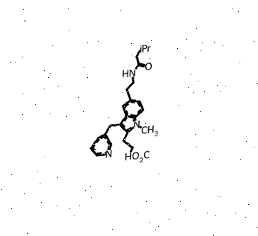 CC(C)CC(=O)NCCc1ccc2c(c1)c(Cc1cccnc1)c(CCC(=O)O)n2C